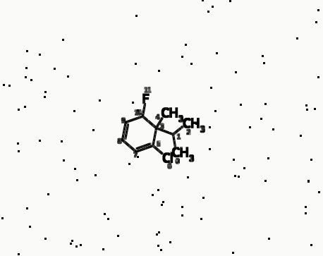 CC(C)C1(C)C(Cl)=CC=CC1F